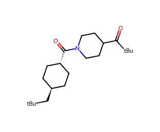 CC(C)(C)C[C@H]1CC[C@H](C(=O)N2CCC(C(=O)C(C)(C)C)CC2)CC1